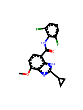 COc1ccc(C(=O)Nc2c(F)cccc2F)c2[nH]c(C3CC3)nc12